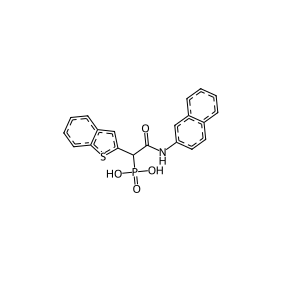 O=C(Nc1ccc2ccccc2c1)C(c1cc2ccccc2s1)P(=O)(O)O